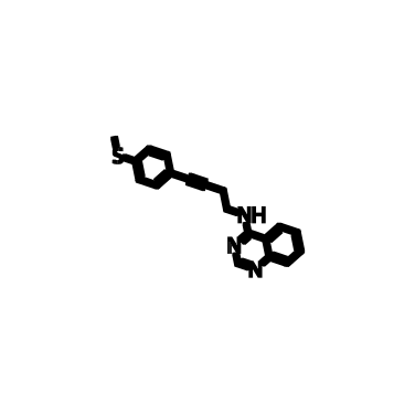 CSc1ccc(C#CCCNc2ncnc3ccccc23)cc1